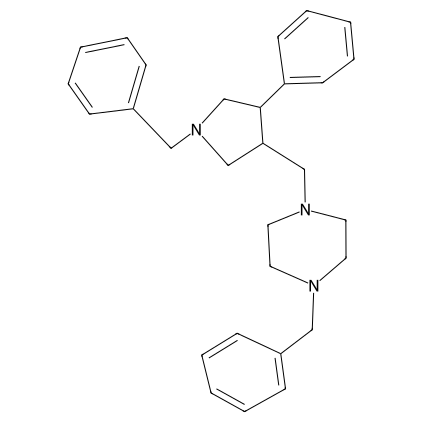 c1ccc(CN2CCN(CC3CN(Cc4ccccc4)CC3c3ccccc3)CC2)cc1